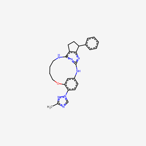 Cc1ncn(-c2ccc3cc2OCCCCNc2nc(nc4c2CCC4c2ccccc2)N3)n1